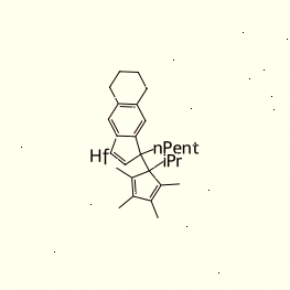 CCCCCC1(C2(C(C)C)C(C)=C(C)C(C)=C2C)C=Cc2cc3c(cc21)CCCC3.[Hf]